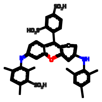 Cc1cc(C)c(Nc2ccc3c(-c4ccc(S(=O)(=O)O)cc4S(=O)(=O)O)c4cc/c(=N/c5c(C)cc(C)c(S(=O)(=O)O)c5C)cc-4oc3c2)c(C)c1